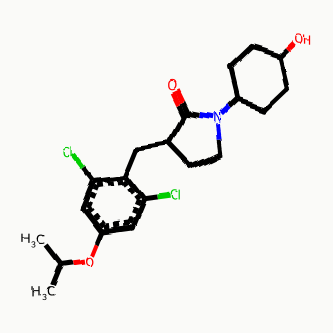 CC(C)Oc1cc(Cl)c(CC2CCN(C3CCC(O)CC3)C2=O)c(Cl)c1